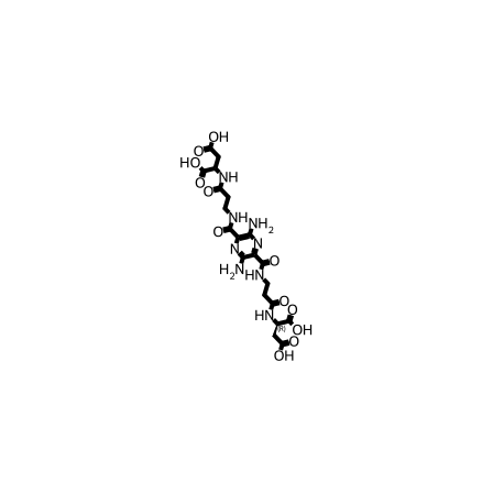 Nc1nc(C(=O)NCCC(=O)N[C@H](CC(=O)O)C(=O)O)c(N)nc1C(=O)NCCC(=O)NC(CC(=O)O)C(=O)O